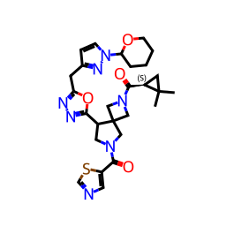 CC1(C)C[C@@H]1C(=O)N1CC2(CN(C(=O)c3cncs3)CC2c2nnc(Cc3ccn(C4CCCCO4)n3)o2)C1